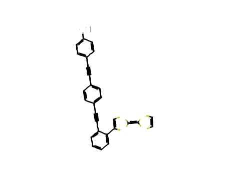 Cc1ccc(C#Cc2ccc(C#Cc3ccccc3C3=CSC(=C4SC=CS4)S3)cc2)cc1